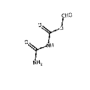 NC(=O)NC(=O)OC=O